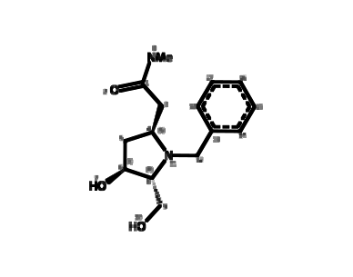 CNC(=O)C[C@@H]1C[C@H](O)[C@@H](CO)N1Cc1ccccc1